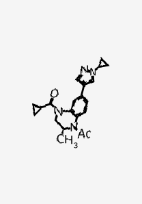 CC(=O)N1c2ccc(-c3cnn(C4CC4)c3)cc2N(C(=O)C2CC2)C[C@@H]1C